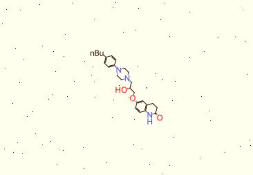 CCCCc1ccc(N2CCN(C[C@H](O)COc3ccc4c(c3)CCC(=O)N4)CC2)cc1